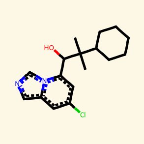 CC(C)(C1CCCCC1)C(O)c1cc(Cl)cc2cncn12